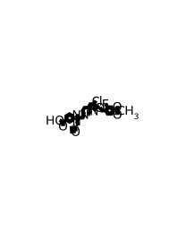 CS(=O)(=O)c1ccc(COc2nc3c(cc2Cl)CCN(Cc2nc4ccc(C(=O)O)cc4n2C[C@@H]2CCO2)C3)c(F)c1